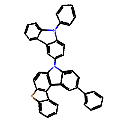 c1ccc(-c2ccc3c(c2)c2c4c(ccc2n3-c2ccc3c(c2)c2ccccc2n3-c2ccccc2)sc2ccccc24)cc1